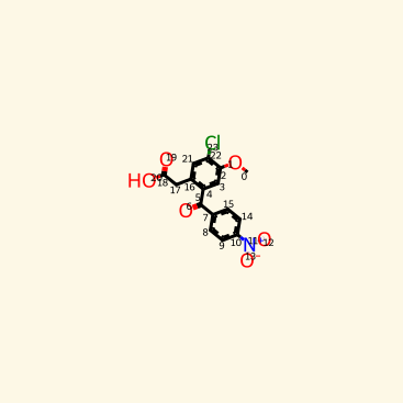 COc1cc(C(=O)c2ccc([N+](=O)[O-])cc2)c(CC(=O)O)cc1Cl